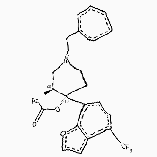 CC(=O)C(=O)O[C@@]1(c2ccc(C(F)(F)F)c3ccoc23)CCN(Cc2ccccc2)C[C@@H]1C